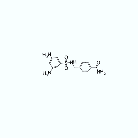 NC(=O)c1ccc(CNS(=O)(=O)c2cc(N)cc(N)c2)cc1